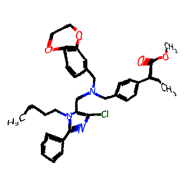 CCCCn1c(-c2ccccc2)nc(Cl)c1CN(Cc1ccc(C(C)C(=O)OC)cc1)Cc1ccc2c(c1)OCCO2